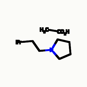 CC(=O)O.CC(C)CCN1CCCC1